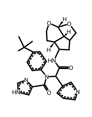 CC(C)(C)c1ccc(N(C(=O)c2c[nH]cn2)C(C(=O)NC2CC3CO[C@H]4OCC[C@@H]2[C@@H]34)c2cccnc2)cc1